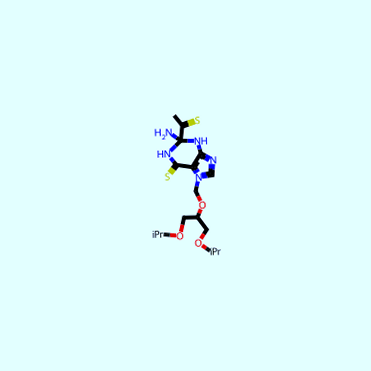 CC(=S)C1(N)NC(=S)c2c(ncn2COC(COC(C)C)COC(C)C)N1